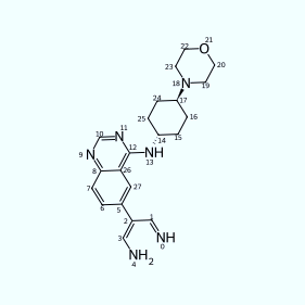 N=C/C(=C\N)c1ccc2ncnc(N[C@H]3CC[C@H](N4CCOCC4)CC3)c2c1